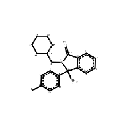 Cc1ccc(C2(N)c3ccccc3C(=O)N2CC2CCCCC2)cc1